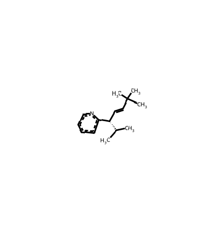 CC(C)[C@@H](/C=C/C(C)(C)C)c1ccccn1